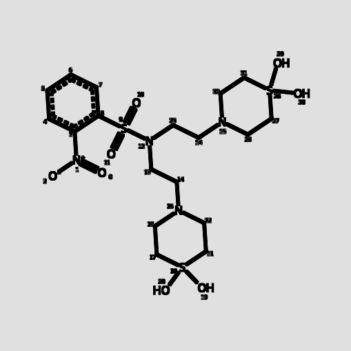 O=[N+]([O-])c1ccccc1S(=O)(=O)N(CCN1CCS(O)(O)CC1)CCN1CCS(O)(O)CC1